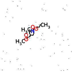 CCCCOC(=O)N1CCC(=CC(=O)OCC)C[C@@H]1C